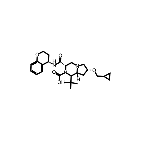 CC(C)(C)C1[C@H]2C[C@@H](OCC3CC3)CN2C[C@@H](C(=O)N[C@@H]2CCOc3ccccc32)N1C(=O)O